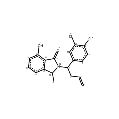 C=CCC(c1ccc(Cl)c(Cl)c1)N1C(=O)c2c(O)cccc2C1C